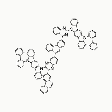 c1ccc2c(c1)-c1ccccc1-n1c3cc4c5ccccc5n(-c5nc(-c6ccc7cc(-c8ccc9nc(-c%10ccc%11c(ccc%12ccccc%12%11)c%10)c(-n%10c%11ccccc%11c%11cc%12c(cc%11%10)c%10cccc%11c%10n%12-c%10ccccc%10-c%10ccccc%10-%11)nc9c8)c8ccccc8c7c6)c6ccccc6n5)c4cc3c3cccc-2c31